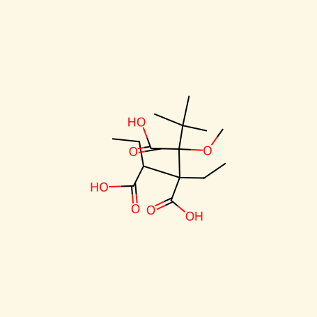 CCC(C(=O)O)C(CC)(C(=O)O)C(OC)(C(=O)O)C(C)(C)C